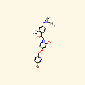 Cc1cc(CN(C)C(C)C)ccc1C(=O)Cn1ccc(OCc2ccc(Br)cn2)cc1=O